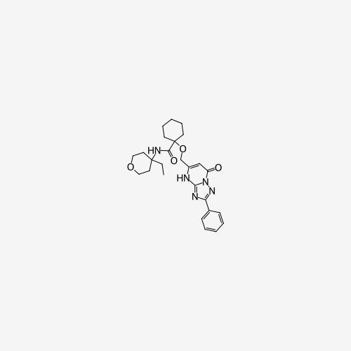 CCC1(NC(=O)C2(OCc3cc(=O)n4nc(-c5ccccc5)nc4[nH]3)CCCCC2)CCOCC1